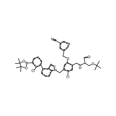 CC(C)(C)OCC(C=O)NCc1cc(Cl)c(Cn2ncc3c(-c4cccc(B5OC(C)(C)C(C)(C)O5)c4Cl)cccc32)cc1OCc1cncc(C#N)c1